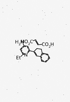 CCc1cc(N)cc(C2=Cc3ccccc3CC2)n1.O=C(O)/C=C/C(=O)O